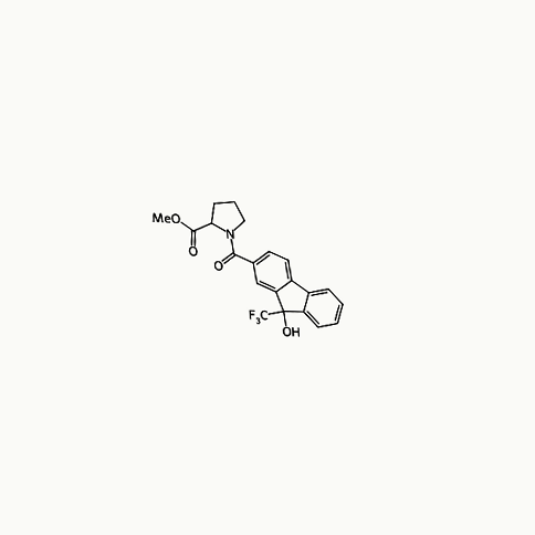 COC(=O)C1CCCN1C(=O)c1ccc2c(c1)C(O)(C(F)(F)F)c1ccccc1-2